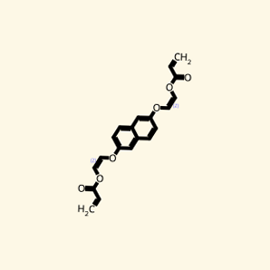 C=CC(=O)O/C=C\Oc1ccc2cc(O/C=C\OC(=O)C=C)ccc2c1